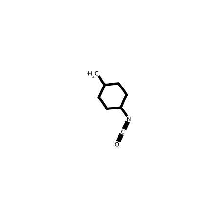 [CH2]C1CCC(N=C=O)CC1